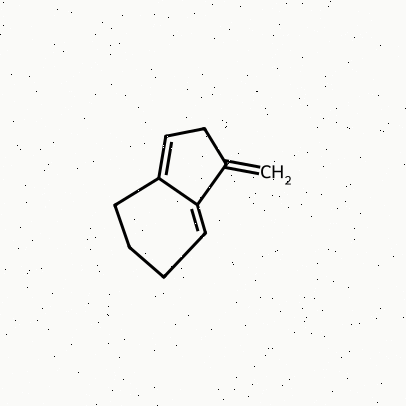 C=C1CC=C2CCCC=C12